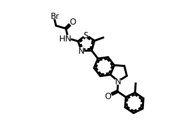 Cc1ccccc1C(=O)N1CCc2cc(-c3nc(NC(=O)CBr)sc3C)ccc21